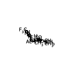 CC(=O)N(CCN1CCN(c2ncc(C(F)(F)F)cn2)CC1)OCC(C)Nc1cnn(COCC[Si](C)(C)C)c(=O)c1C(F)(F)F